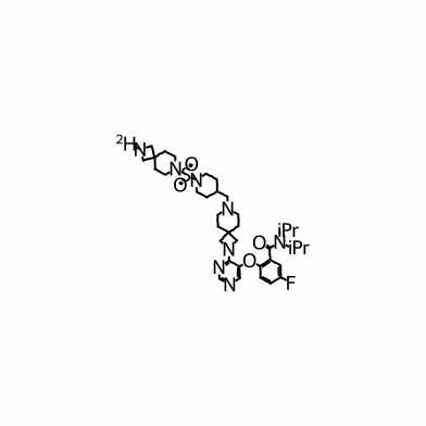 [2H]N1CC2(CCN(S(=O)(=O)N3CCC(CN4CCC5(CC4)CN(c4ncncc4Oc4ccc(F)cc4C(=O)N(C(C)C)C(C)C)C5)CC3)CC2)C1